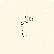 CCC(=O)OCC(C)(C)OCCC1CCCC(C)C1